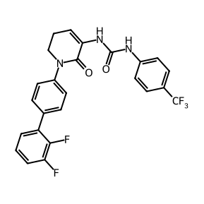 O=C(NC1=CCCN(c2ccc(-c3cccc(F)c3F)cc2)C1=O)Nc1ccc(C(F)(F)F)cc1